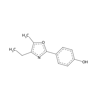 CCc1nc(-c2ccc(O)cc2)oc1C